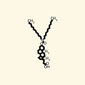 CCCCCCCCCCCCN(CCCCCCCCCCCC)C(=O)O[C@@H]1CC[C@@]2(C)C(CCC3C2CC[C@]2(C)C(CCC(=O)O)CCC32)C1